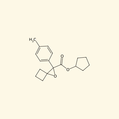 Cc1ccc(C2(C(=O)OC3CCCC3)OC23CCC3)cc1